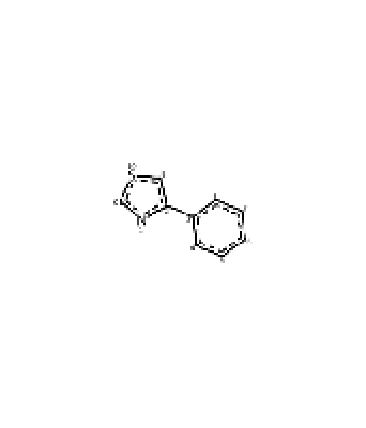 [c]1nc(-c2ccccc2)cs1